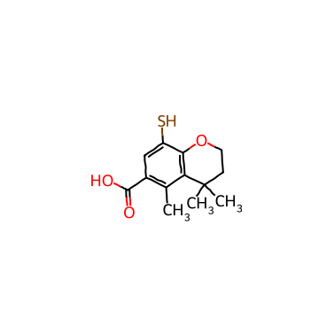 Cc1c(C(=O)O)cc(S)c2c1C(C)(C)CCO2